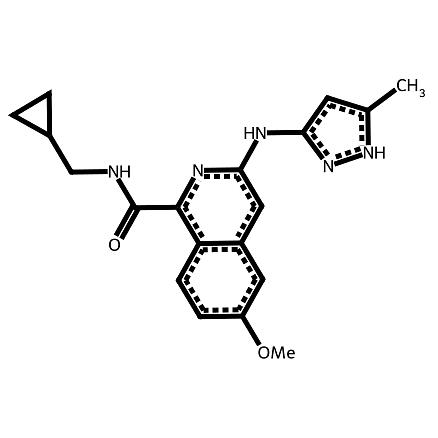 COc1ccc2c(C(=O)NCC3CC3)nc(Nc3cc(C)[nH]n3)cc2c1